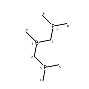 CB(CP(C)C)CP(C)C